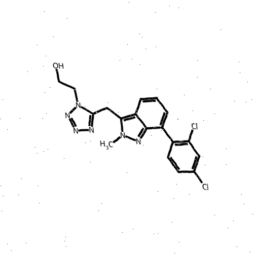 Cn1nc2c(-c3ccc(Cl)cc3Cl)cccc2c1Cc1nnnn1CCO